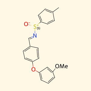 COc1cccc(Oc2ccc(C=N[S@+]([O-])c3ccc(C)cc3)cc2)c1